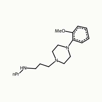 CCCNCCCN1CCN(c2ccccc2OC)CC1